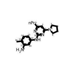 CCCc1cc(N2[CH]CCC2)nc(Nc2ccc(C)c(N)c2)n1